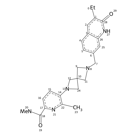 CCc1cc2ccc(CN3CC4(C3)CN(c3ccc(C(=O)NC)nc3C)C4)cc2[nH]c1=O